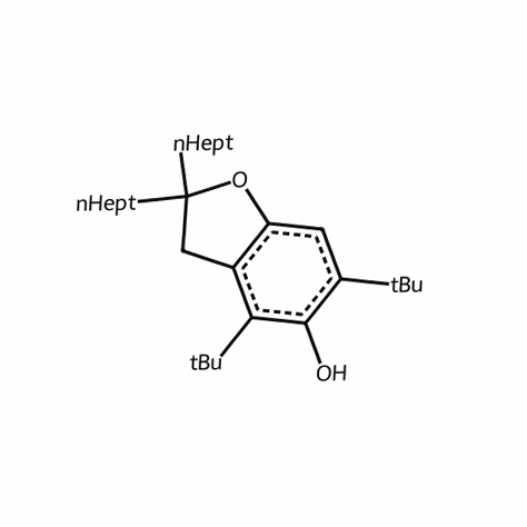 CCCCCCCC1(CCCCCCC)Cc2c(cc(C(C)(C)C)c(O)c2C(C)(C)C)O1